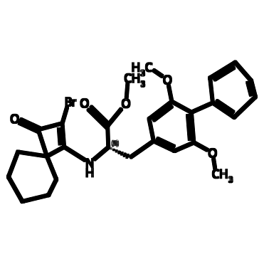 COC(=O)[C@H](Cc1cc(OC)c(-c2ccccc2)c(OC)c1)NC1=C(Br)C(=O)C12CCCCC2